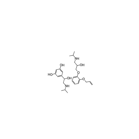 C=CCOc1ccccc1OCC(O)CNC(C)C.CC(C)NCC(O)c1cc(O)cc(O)c1